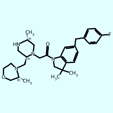 C[C@@H]1CN(CC(=O)N2CC(C)(C)c3ccc(Cc4ccc(F)cc4)cc32)[C@@H](CN2CCOC[C@H]2C)CN1